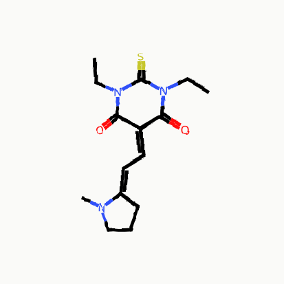 CCN1C(=O)C(=CC=C2CCCN2C)C(=O)N(CC)C1=S